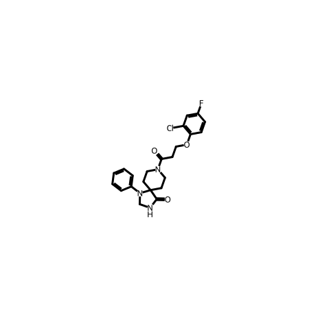 O=C(CCOc1ccc(F)cc1Cl)N1CCC2(CC1)C(=O)NCN2c1ccccc1